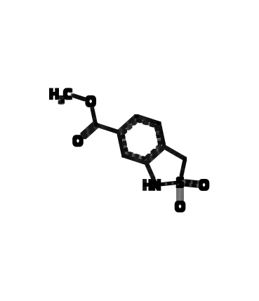 COC(=O)c1ccc2c(c1)NS(=O)(=O)C2